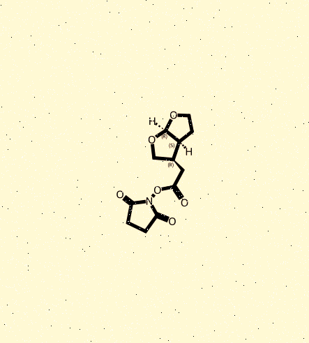 O=C(C[C@H]1CO[C@H]2OCC[C@@H]12)ON1C(=O)CCC1=O